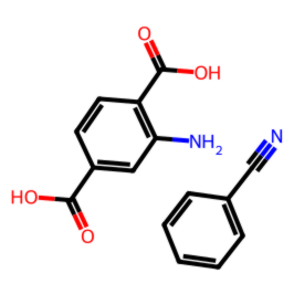 N#Cc1ccccc1.Nc1cc(C(=O)O)ccc1C(=O)O